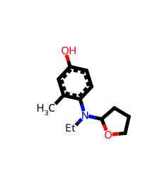 CCN(c1ccc(O)cc1C)C1CCCO1